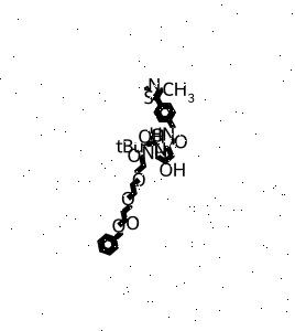 Cc1ncsc1-c1ccc(CNC(=O)[C@@H]2C[C@@H](O)CN2C(=O)[C@](O)(NC(=O)CCOCCOCCC(=O)OCc2ccccc2)C(C)(C)C)cc1